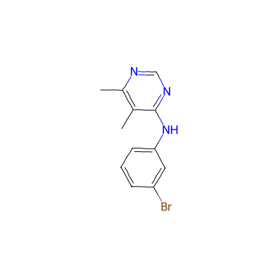 Cc1ncnc(Nc2cccc(Br)c2)c1C